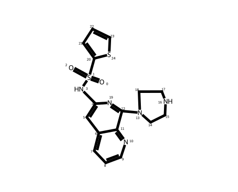 O=S(=O)(Nc1cc2cccnc2c(N2CCNCC2)n1)c1cccs1